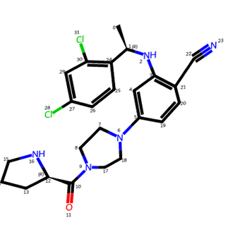 C[C@@H](Nc1cc(N2CCN(C(=O)[C@H]3CCCN3)CC2)ccc1C#N)c1ccc(Cl)cc1Cl